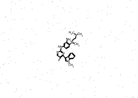 CN(C)CCN(C)c1ccc(Nc2ncc(F)c(-c3cn(C)c4ccccc34)n2)cc1N